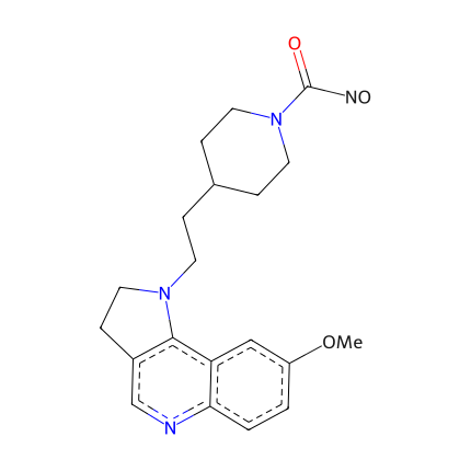 COc1ccc2ncc3c(c2c1)N(CCC1CCN(C(=O)N=O)CC1)CC3